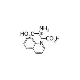 N[C@@H](CC(=O)O)C(=O)O.c1ccc2ncccc2c1